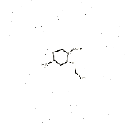 N[C@H]1CCN(C(=O)O)[C@H](CCO)C1